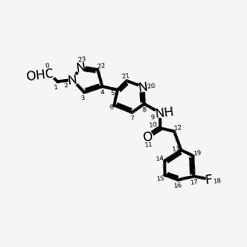 O=CCn1cc(-c2ccc(NC(=O)Cc3cccc(F)c3)nc2)cn1